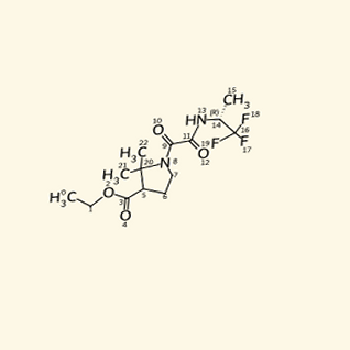 CCOC(=O)C1CCN(C(=O)C(=O)N[C@H](C)C(F)(F)F)C1(C)C